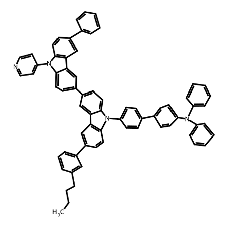 CCCCc1cccc(-c2ccc3c(c2)c2cc(-c4ccc5c(c4)c4cc(-c6ccccc6)ccc4n5-c4ccncc4)ccc2n3-c2ccc(-c3ccc(N(c4ccccc4)c4ccccc4)cc3)cc2)c1